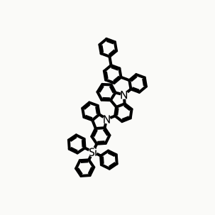 c1ccc(-c2cccc(-c3ccccc3-n3c4ccccc4c4c(-n5c6ccccc6c6cc([Si](c7ccccc7)(c7ccccc7)c7ccccc7)ccc65)cccc43)c2)cc1